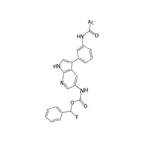 CC(=O)C(=O)Nc1cccc(-c2c[nH]c3ncc(NC(=O)OC(F)c4ccccc4)cc23)c1